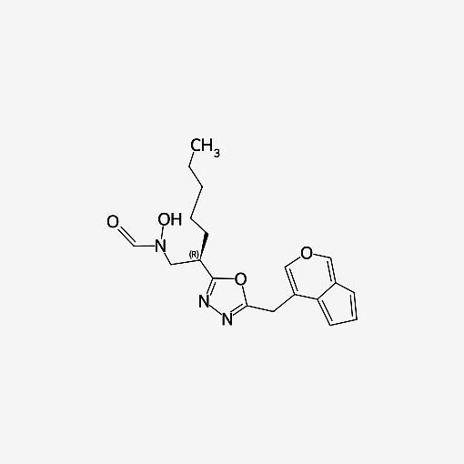 CCCCC[C@H](CN(O)C=O)c1nnc(Cc2cocc3cccc2-3)o1